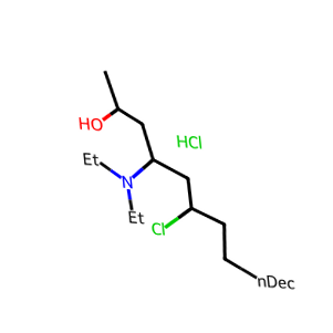 CCCCCCCCCCCCC(Cl)CC(CC(C)O)N(CC)CC.Cl